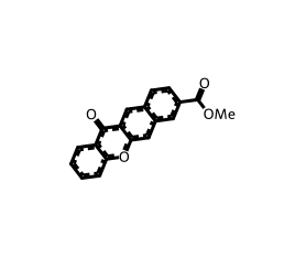 COC(=O)c1ccc2cc3c(=O)c4ccccc4oc3cc2c1